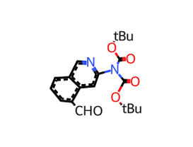 CC(C)(C)OC(=O)N(C(=O)OC(C)(C)C)c1cc2c(C=O)cccc2cn1